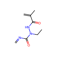 C=NC(=O)N(CC)NC(=O)C(=C)C